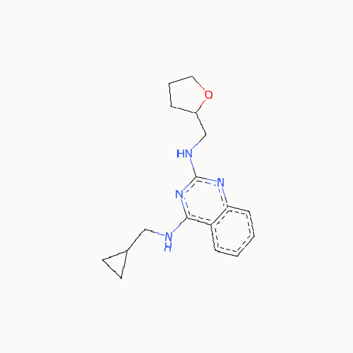 c1ccc2c(NCC3CC3)nc(NCC3CCCO3)nc2c1